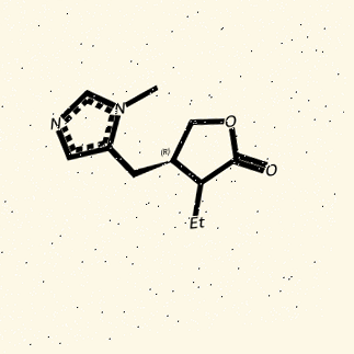 CCC1C(=O)OC[C@@H]1Cc1cncn1C